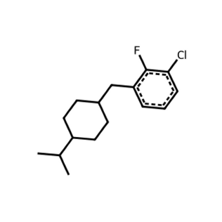 CC(C)C1CCC(Cc2cccc(Cl)c2F)CC1